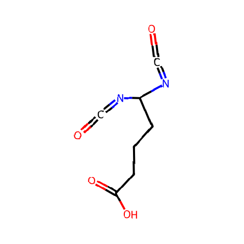 O=C=NC(CCCC(=O)O)N=C=O